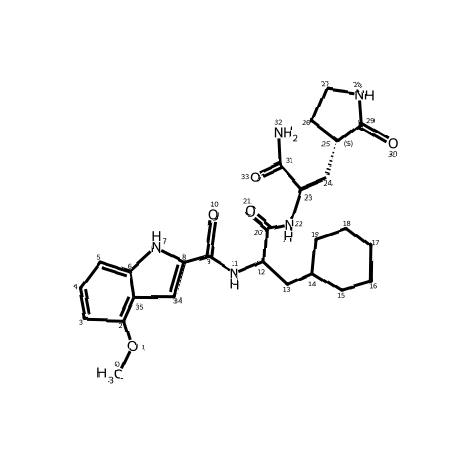 COc1cccc2[nH]c(C(=O)NC(CC3CCCCC3)C(=O)NC(C[C@@H]3CCNC3=O)C(N)=O)cc12